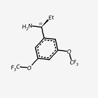 CC[C@H](N)c1cc(OC(F)(F)F)cc(OC(F)(F)F)c1